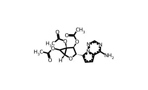 CC(=O)OC1[C@H]2O[C@@H](c3ccc4c(N)ncnn34)[C@H](OC(C)=O)[C@@]12OC(C)=O